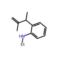 C=C(C)C(C)c1ccccc1NCC